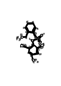 O=S(=O)(Oc1c(Cl)cc(C(F)(F)F)cc1Cl)c1ccccc1CC(F)(F)F